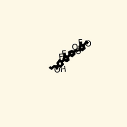 CCCC(O)C1CCC(c2ccc(-c3ccc(C(=O)Oc4ccc(C5CO5)c(F)c4)cc3)c(F)c2F)CC1